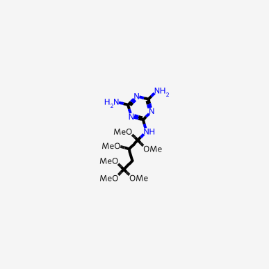 COC(CC(OC)(OC)OC)C(Nc1nc(N)nc(N)n1)(OC)OC